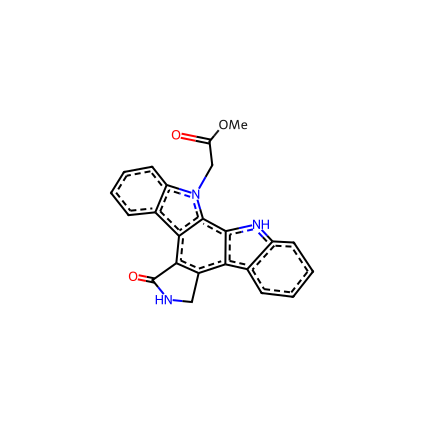 COC(=O)Cn1c2ccccc2c2c3c(c4c5ccccc5[nH]c4c21)CNC3=O